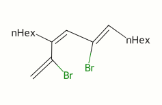 C=C(Br)/C(=C\C(Br)=C\CCCCCC)CCCCCC